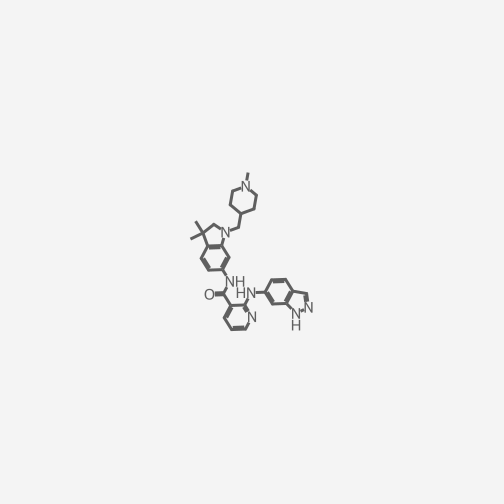 CN1CCC(CN2CC(C)(C)c3ccc(NC(=O)c4cccnc4Nc4ccc5cn[nH]c5c4)cc32)CC1